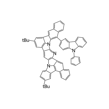 CC(C)(C)c1ccc2c(c1)c1c3ccccc3cc3c4nc5c(cc4n2c31)c1cc(C(C)(C)C)cc2c3cc4ccccc4c(-c4ccc6c(c4)c4ccccc4n6-c4ccccc4)c3n5c12